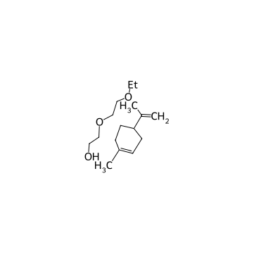 C=C(C)C1CC=C(C)CC1.CCOCCOCCO